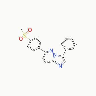 CS(=O)(=O)c1ccc(-c2ccc3ncc(-c4c[c]ccc4)n3n2)cc1